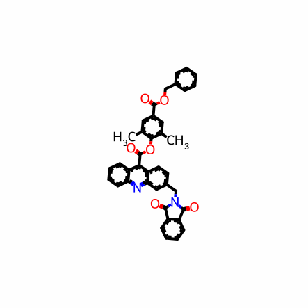 Cc1cc(C(=O)OCc2ccccc2)cc(C)c1OC(=O)c1c2ccccc2nc2cc(CN3C(=O)c4ccccc4C3=O)ccc12